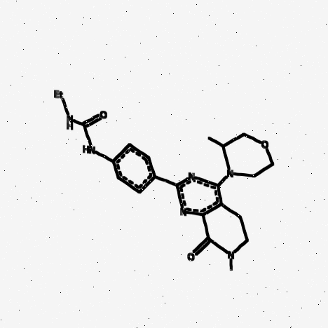 CCNC(=O)Nc1ccc(-c2nc3c(c(N4CCOCC4C)n2)CCN(C)C3=O)cc1